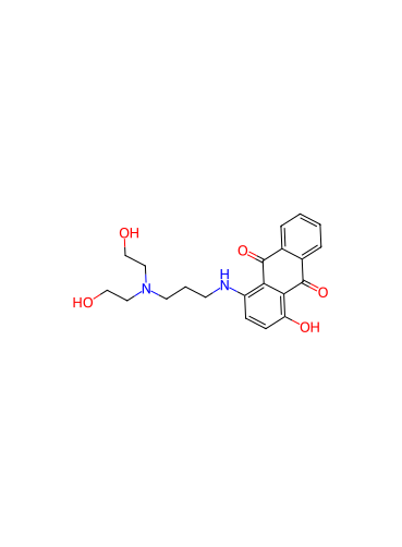 O=C1c2ccccc2C(=O)c2c(NCCCN(CCO)CCO)ccc(O)c21